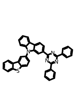 c1ccc(-c2nc(-c3ccccc3)nc(-c3ccc4c5ccccc5n(-c5ccc6sc7ccccc7c6c5)c4c3)n2)cc1